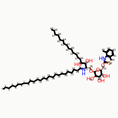 CCCCCCCCCCCCCCCCCCCCCCCCCCN[C@@H](CO[C@H]1O[C@H](COC(=S)Nc2c(C)cccc2C)[C@H](O)[C@H](O)[C@H]1O)[C@H](O)[C@H](O)CCCCCCCCCCCCCC